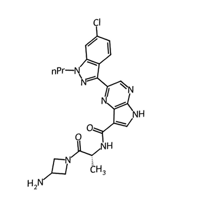 CCCn1nc(-c2cnc3[nH]cc(C(=O)N[C@H](C)C(=O)N4CC(N)C4)c3n2)c2ccc(Cl)cc21